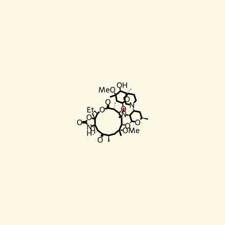 CC[C@H]1OC(=O)[C@H](C)[C@@H](O[C@H]2C[C@@](C)(OC)[C@@H](O)[C@H](C)O2)[C@H](C)[C@@H](O[C@@H]2O[C@H](C)C[C@@H](N3CCCCC3)[C@@H]2N(C)C)[C@@](C)(OC)C[C@@H](C)C(=O)[C@H](C)[C@H]2NC(=O)O[C@@]21C